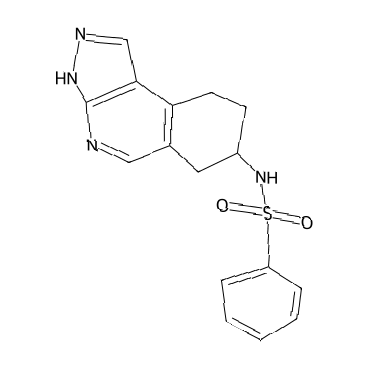 O=S(=O)(NC1CCc2c(cnc3[nH]ncc23)C1)c1ccccc1